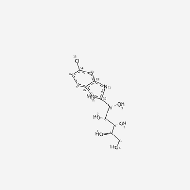 OC[C@@H](O)[C@@H](O)[C@H](O)[C@@H](O)c1nc2cc(Cl)ccc2[nH]1